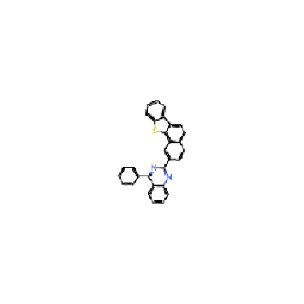 c1ccc(-c2nc(-c3ccc4ccc5c6ccccc6sc5c4c3)nc3ccccc23)cc1